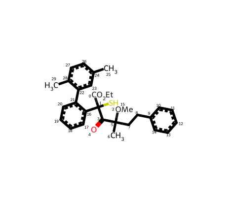 CCOC(=O)C(S)(C(=O)C(C)(CCc1ccccc1)OC)c1ccccc1-c1cc(C)ccc1C